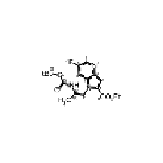 CCOC(=O)c1cc2ncc(F)cc2n1C[C@@H](C)NC(=O)OC(C)(C)C